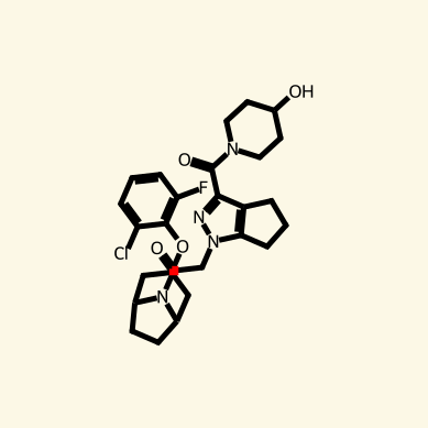 O=C(c1nn(CC(=O)N2C3CCC2CC(Oc2c(F)cccc2Cl)C3)c2c1CCC2)N1CCC(O)CC1